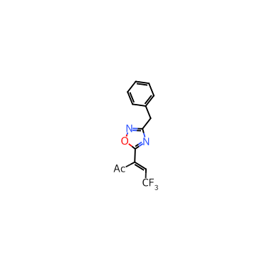 CC(=O)C(=CC(F)(F)F)c1nc(Cc2ccccc2)no1